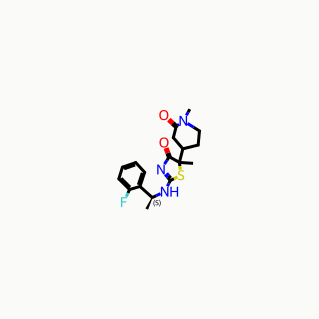 C[C@H](NC1=NC(=O)C(C)(C2CCN(C)C(=O)C2)S1)c1ccccc1F